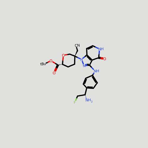 CC(C)(C)OC(=O)[C@H]1CC[C@@](CC#N)(n2nc(Nc3ccc([C@H](N)CF)cc3)c3c(=O)[nH]ccc32)CO1